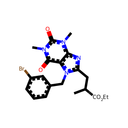 CCOC(=O)C(C)Cc1nc2c(c(=O)n(C)c(=O)n2C)n1Cc1cccc(Br)c1